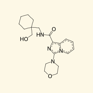 O=C(NCC1(CO)CCCCC1)c1nc(N2CCOCC2)n2ccccc12